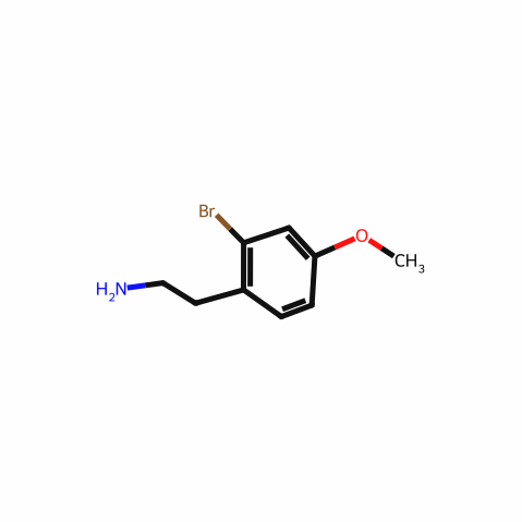 COc1ccc(CCN)c(Br)c1